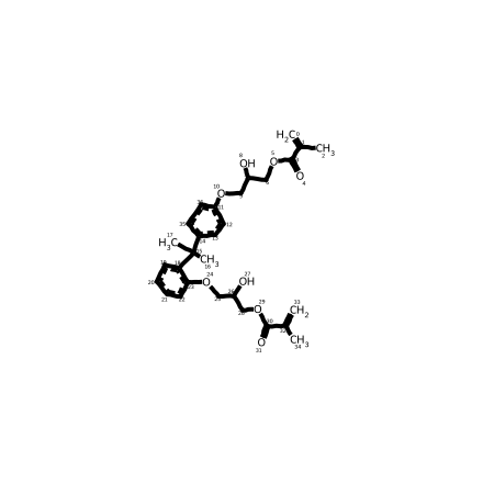 C=C(C)C(=O)OCC(O)COc1ccc(C(C)(C)c2ccccc2OCC(O)COC(=O)C(=C)C)cc1